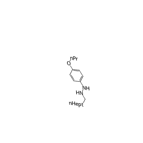 CCCCCCCCNNc1ccc(OCCC)cc1